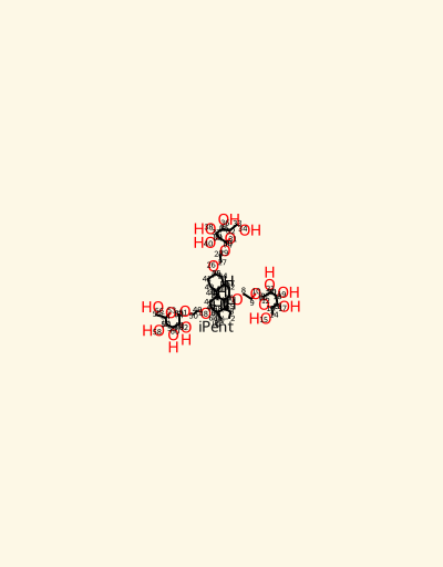 CCC[C@@H](C)[C@H]1CC[C@H]2[C@@H]3[C@H](OCCO[C@@H]4OC(CO)[C@@H](O)C(O)[C@@H]4O)C[C@@H]4C[C@H](OCCO[C@@H]5OC(CO)[C@@H](O)C(O)[C@@H]5O)CC[C@]4(C)[C@H]3C[C@H](OCCO[C@@H]3OC(CO)[C@@H](O)C(O)[C@@H]3O)[C@]12C